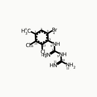 Cc1cc(Br)c(NC(=N)NC(=N)N)c(Cl)c1Cl